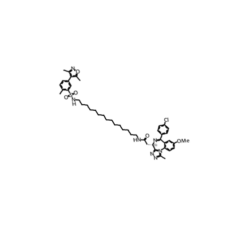 COc1ccc2c(c1)C(c1ccc(Cl)cc1)=N[C@@H](CC(=O)NCCCCCCCCCCCCCCCNS(=O)(=O)c1cc(-c3c(C)noc3C)ccc1C)c1nnc(C)n1-2